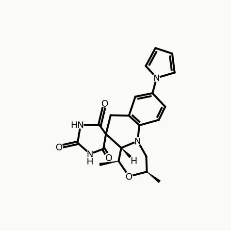 C[C@@H]1CN2c3ccc(-n4cccc4)cc3CC3(C(=O)NC(=O)NC3=O)[C@H]2[C@H](C)O1